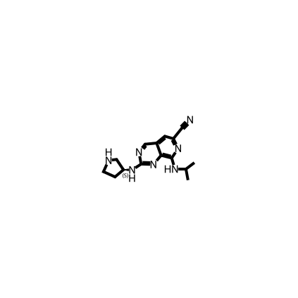 CC(C)Nc1nc(C#N)cc2cnc(N[C@H]3CCNC3)nc12